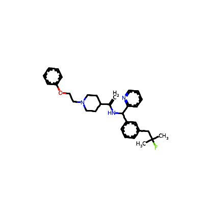 C=C(NC(c1cccc(CC(C)(C)F)c1)c1ccccn1)C1CCN(CCOc2ccccc2)CC1